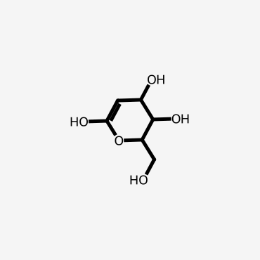 OCC1OC(O)=CC(O)C1O